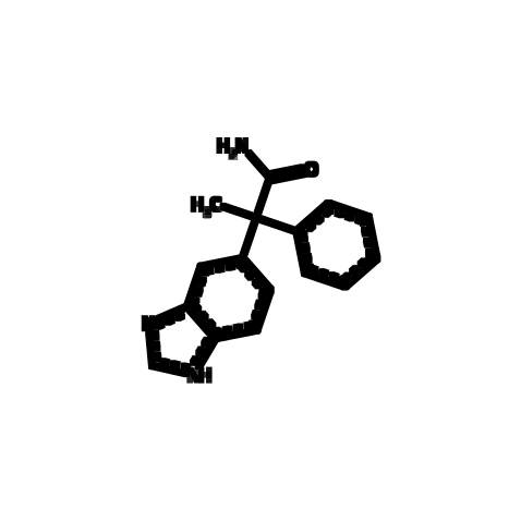 CC(C(N)=O)(c1ccccc1)c1ccc2[nH]cnc2c1